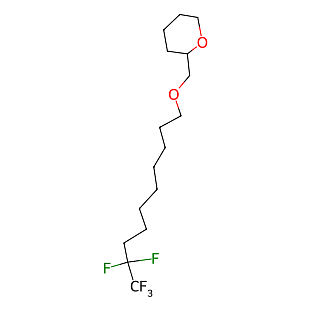 FC(F)(F)C(F)(F)CCCCCCCCOCC1CCCCO1